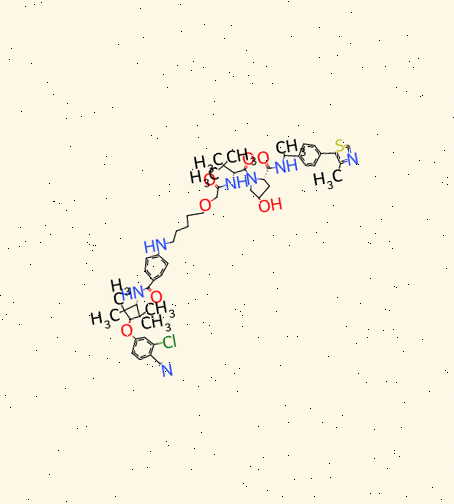 Cc1ncsc1-c1ccc([C@H](C)NC(=O)[C@@H]2C[C@@H](O)CN2C(=O)[C@H](NC(=O)COCCCCCNc2ccc(C(=O)N[C@H]3C(C)(C)[C@H](Oc4ccc(C#N)c(Cl)c4)C3(C)C)cc2)C(C)(C)C)cc1